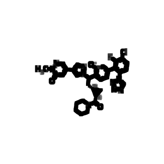 Cn1ncc(-c2cnn(C(C[C@@H]3C[C@H]3C(=O)N3CCCCC3)c3ccc(-c4c(-n5cnnn5)ccc(Cl)c4F)c[n+]3[O-])c2)cc1=O